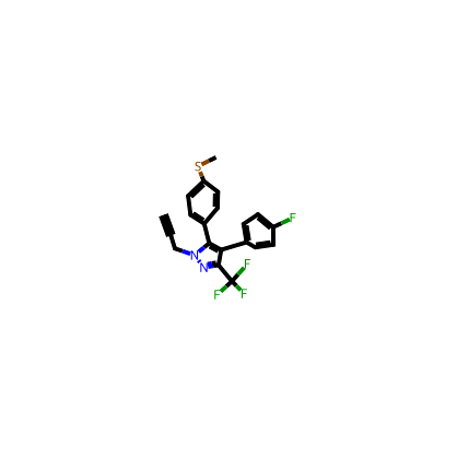 C#CCn1nc(C(F)(F)F)c(-c2ccc(F)cc2)c1-c1ccc(SC)cc1